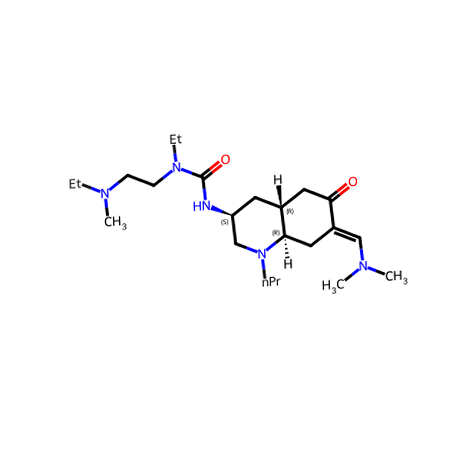 CCCN1C[C@@H](NC(=O)N(CC)CCN(C)CC)C[C@@H]2CC(=O)C(=CN(C)C)C[C@H]21